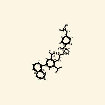 CC(C)c1cc(-c2cccc3cccnc23)cc(C(C)C)c1CC(=O)NS(=O)(=O)c1ccc(CN(C)C)cc1